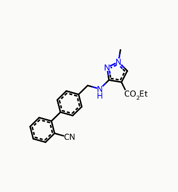 CCOC(=O)c1cn(C)nc1NCc1ccc(-c2ccccc2C#N)cc1